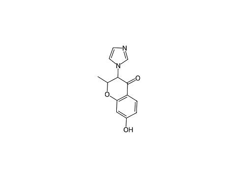 CC1Oc2cc(O)ccc2C(=O)C1n1ccnc1